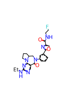 CCNc1ncc2c(n1)N1CCCC1CN(c1cccc(-c3nc(C(=O)NCCF)co3)c1)C2=O